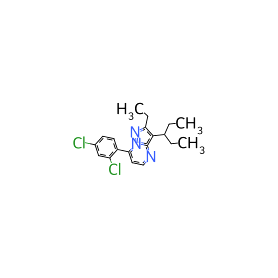 CCc1nn2c(-c3ccc(Cl)cc3Cl)ccnc2c1C(CC)CC